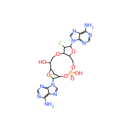 Nc1ncnc2c1ncn2C1OC2COP(=O)(O)OC3C(F)C(OC3n3cnc4c(N)ncnc43)C(O)COC2C1F